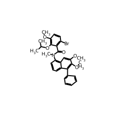 COc1ccc(Br)c(C(=O)N(C)c2cccc3c(-c4ccccc4)c(OC)c(OC)cc23)c1OC(C)C